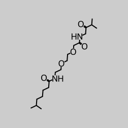 CC(C)CCCCC(=O)NCCOCCOCC(=O)NCC(=O)C(C)C